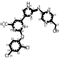 Cc1cc(-c2c[nH]/c(=N/c3cnc(CO)cn3)s2)nc(Oc2ccc(Cl)cc2Cl)n1